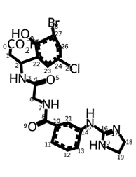 O=C(O)CC(NC(=O)CNC(=O)c1cccc(NC2=NCCN2)c1)c1cc(Cl)cc(Br)c1O